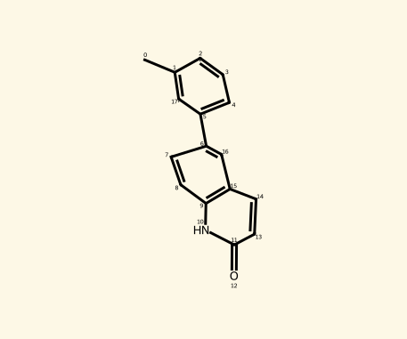 Cc1[c]ccc(-c2ccc3[nH]c(=O)ccc3c2)[c]1